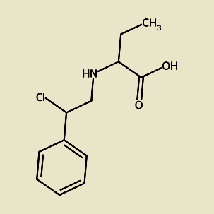 CCC(NCC(Cl)c1ccccc1)C(=O)O